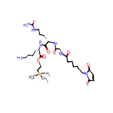 CS(C)(C)CCOC(=O)[C@H](CCCCN)NC(=O)[C@H](CCCNC(N)=O)NC(=O)CNC(=O)CCCCCN1C(=O)C=CC1=O